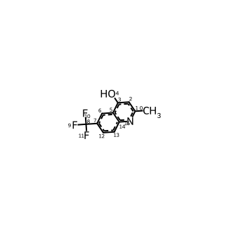 Cc1cc(O)c2cc(C(F)(F)F)ccc2n1